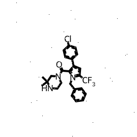 CC1(C)CN(C(=O)c2c(-c3ccc(Cl)cc3)cc(C(F)(F)F)n2Cc2ccccc2)CCN1